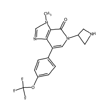 Cn1cnc2c(-c3ccc(OC(F)(F)F)cc3)cn(C3CNC3)c(=O)c21